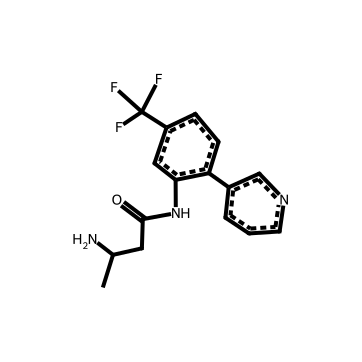 CC(N)CC(=O)Nc1cc(C(F)(F)F)ccc1-c1cccnc1